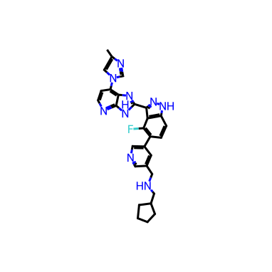 Cc1cn(-c2ccnc3[nH]c(-c4n[nH]c5ccc(-c6cncc(CNCC7CCCC7)c6)c(F)c45)nc23)cn1